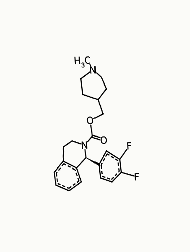 CN1CCC(COC(=O)N2CCc3ccccc3[C@@H]2c2ccc(F)c(F)c2)CC1